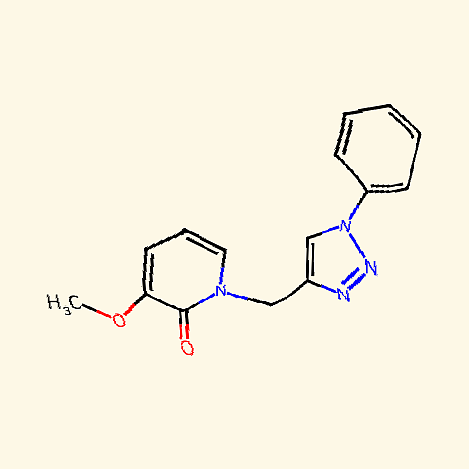 COc1cccn(Cc2cn(-c3ccccc3)nn2)c1=O